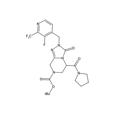 CC(C)(C)OC(=O)N1Cc2nn(Cc3ccnc(C(F)(F)F)c3F)c(=O)n2C(C(=O)N2CCCC2)C1